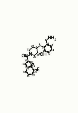 NCc1ccccc1CC1CCN(C(=O)c2cn3cccc(F)c3n2)C[C@H]1O